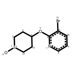 [O-][S+]1CCC(Oc2ncccc2Br)CC1